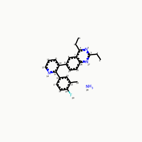 CCc1nc(CC)c2cc(-c3cccnc3-c3ccc(F)c(C)c3)ccc2n1.N